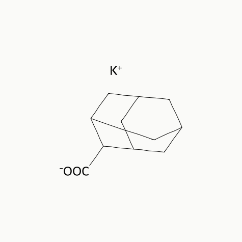 O=C([O-])C1C2CC3CC(C2)CC1C3.[K+]